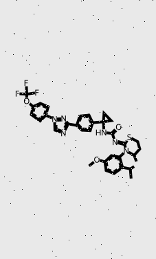 COc1ccc(C(C)C)c(N2/C(=N/C(=O)NC3(c4ccc(-c5ncn(-c6ccc(OC(F)(F)F)cc6)n5)cc4)CC3)SCCC2C)c1